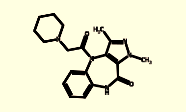 Cc1nn(C)c2c1N(C(=O)CN1CCCCC1)c1ccccc1NC2=O